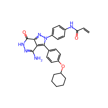 C=CC(=O)Nc1ccc(-n2nc3c(=O)[nH]nc(N)c3c2-c2ccc(OC3CCCCC3)cc2)cc1